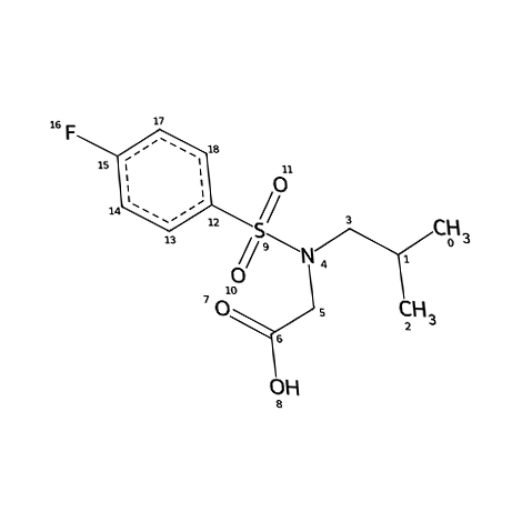 CC(C)CN(CC(=O)O)S(=O)(=O)c1ccc(F)cc1